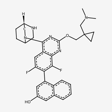 CN(C)CC1(COc2nc(N3C[C@@H]4CCC3CN4)c3cc(F)c(-c4cc(O)cc5ccccc45)c(F)c3n2)CC1